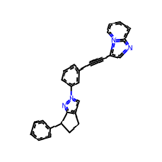 C(#Cc1cnc2ccccn12)c1cccc(-n2cc3c(n2)C(c2ccccc2)CC3)c1